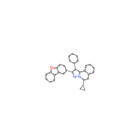 c1ccc(-c2c(-c3ccc4oc5ccccc5c4c3)nn3c(C4CC4)cc4ccccc4c23)cc1